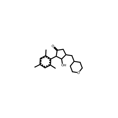 Cc1cc(C)c(C2C(=O)CC(CC3CCOCC3)C2O)c(C)c1